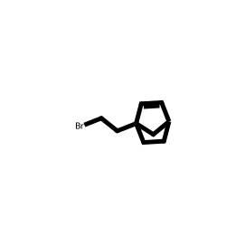 BrCCC12C=CC(CC1)C2